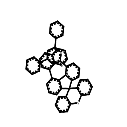 c1ccc(-c2cc(-c3ccccc3)nc(-c3cccc4c3-c3c(-c5cccc6cccnc56)cccc3C43c4ccccc4Sc4ccccc43)n2)cc1